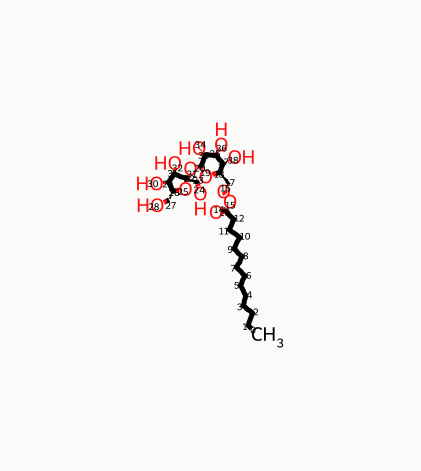 CCCCCCCCCCCCCC(=O)OOC[C@H]1O[C@H](O[C@]2(CO)O[C@H](CO)[C@@H](O)[C@@H]2O)[C@H](O)[C@@H](O)[C@@H]1O